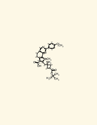 COc1ccc(-c2ncc3c(n2)-c2c(c(C(=O)O)c(CC4(N)CN(C(=O)OC(C)(C)C)C4)n2C)CC3)cc1